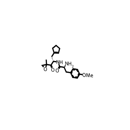 COc1ccc(C[C@H](N)C(=O)N[C@@H](CC2=CCCC2)C(=O)C2(C)CO2)cc1